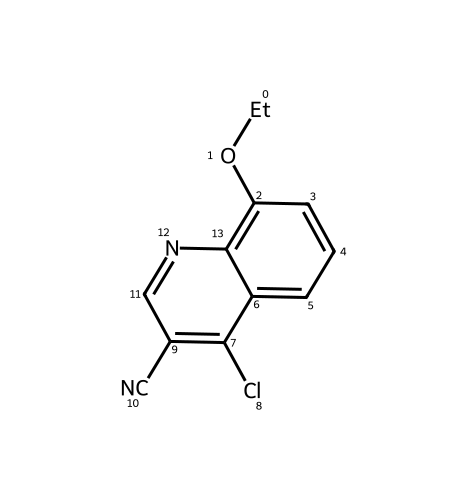 CCOc1cccc2c(Cl)c(C#N)cnc12